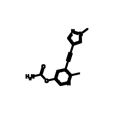 Cc1ncc(OC(N)=O)cc1C#Cc1cnn(C)c1